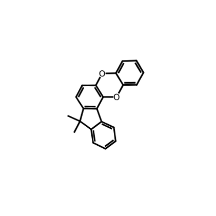 CC1(C)c2ccccc2-c2c1ccc1c2Oc2ccccc2O1